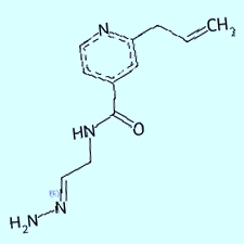 C=CCc1cc(C(=O)NC/C=N/N)ccn1